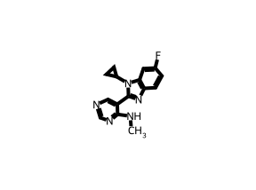 CNc1ncncc1-c1nc2ccc(F)cc2n1C1CC1